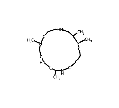 CC1CNCCN(C)CCCNCC(C)N(C)CCCCN1